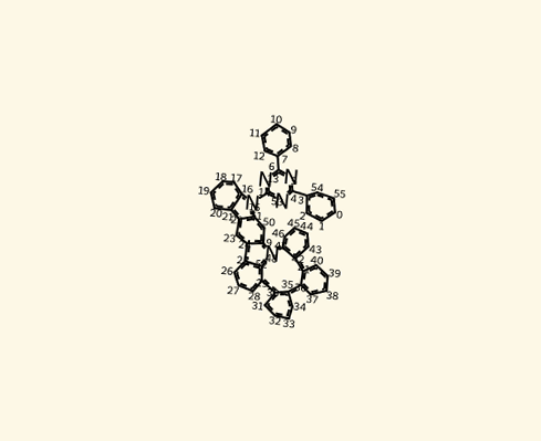 c1ccc(-c2nc(-c3ccccc3)nc(-n3c4ccccc4c4cc5c6cccc7c8ccccc8c8ccccc8c8ccccc8n(c5cc43)c76)n2)cc1